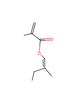 C=C(C)C(=O)OC=C(C)CC